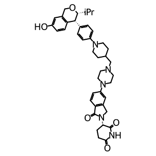 CC(C)[C@H]1OCc2cc(O)ccc2[C@H]1c1ccc(N2CCC(CN3CCN(c4ccc5c(c4)CN([C@H]4CCC(=O)NC4=O)C5=O)CC3)CC2)cc1